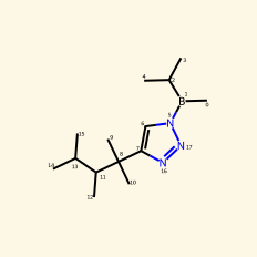 CB(C(C)C)n1cc(C(C)(C)C(C)C(C)C)nn1